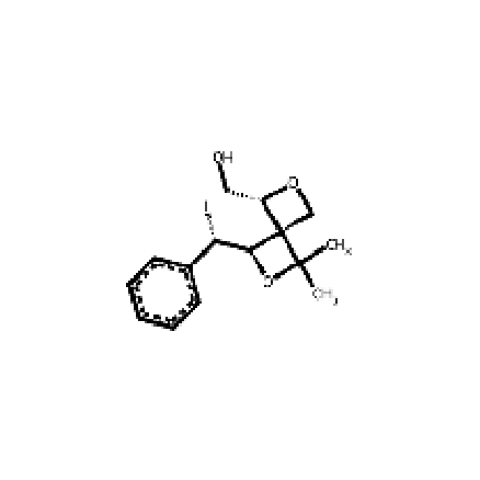 CC1(C)O[C@@H]([C@@H](I)c2ccccc2)[C@@]12CO[C@H]2CO